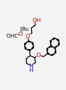 CC(C)(C)OC=O.OCCCOc1ccc(C2CCNCC2OCc2ccc3ccccc3c2)cc1